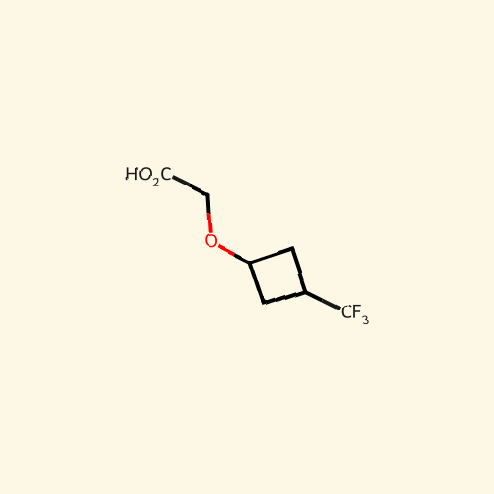 O=C(O)COC1CC(C(F)(F)F)C1